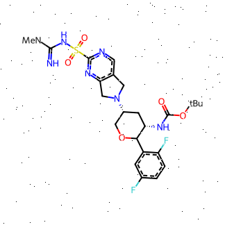 CNC(=N)NS(=O)(=O)c1ncc2c(n1)CN([C@H]1COC(c3cc(F)ccc3F)[C@@H](NC(=O)OC(C)(C)C)C1)C2